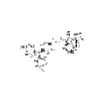 O=C(NCCCN1CCN(C(c2ccc(F)cc2)c2ccc(F)cc2)CC1)C1(c2cccnc2)NCCS1